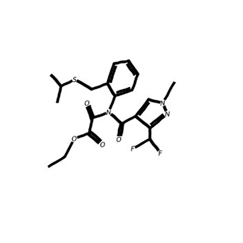 CCOC(=O)C(=O)N(C(=O)c1cn(C)nc1C(F)F)c1ccccc1CSC(C)C